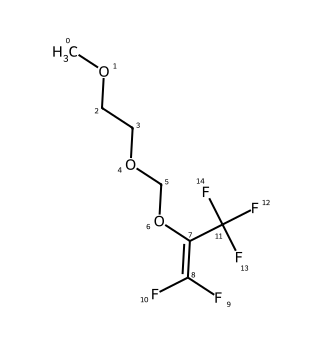 COCCOCOC(=C(F)F)C(F)(F)F